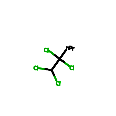 CCCC(Cl)(Cl)[C](Cl)Cl